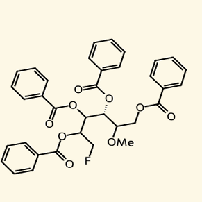 COC(COC(=O)c1ccccc1)[C@@H](OC(=O)c1ccccc1)C(OC(=O)c1ccccc1)C(CF)OC(=O)c1ccccc1